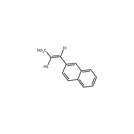 CCC(=C(S)C(=O)O)c1ccc2ccccc2c1